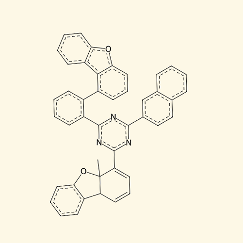 CC12Oc3ccccc3C1C=CC=C2c1nc(-c2ccc3ccccc3c2)nc(-c2ccccc2-c2cccc3oc4ccccc4c23)n1